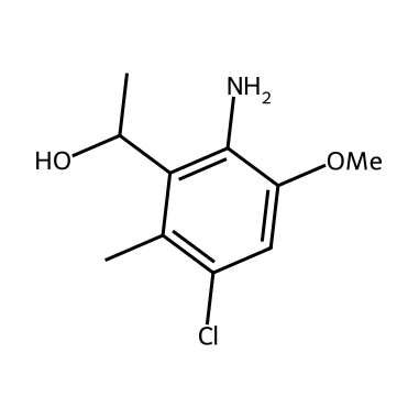 COc1cc(Cl)c(C)c(C(C)O)c1N